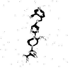 CC1CN(c2noc(C(F)F)n2)CCN1c1ncc(OCc2ccncc2C#N)cn1